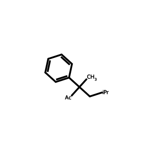 CC(=O)C(C)(CC(C)C)c1ccccc1